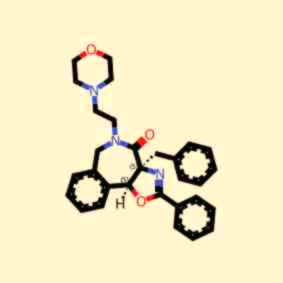 O=C1N(CCN2CCOCC2)Cc2ccccc2[C@@H]2OC(c3ccccc3)=N[C@]12Cc1ccccc1